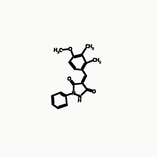 COc1ccc(C=C2C(=O)NN(c3ccccc3)C2=O)c(C)c1C